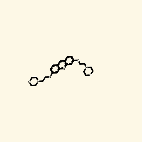 c1cc2cc3ccc(OCCN4CCOCC4)cc3nc2cc1OCCN1CCOCC1